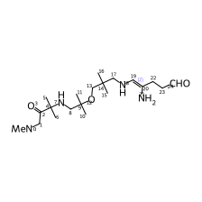 CNCC(=O)C(C)(C)NCC(C)(C)OCC(C)(C)CN/C=C(\N)CCC=O